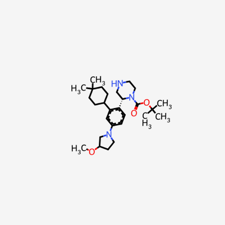 COC1CCN(c2ccc([C@@H]3CNCCN3C(=O)OC(C)(C)C)c(C3CCC(C)(C)CC3)c2)C1